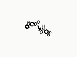 CN(C)[C@]1(c2ccccc2)CC[C@@]2(CC1)CC(=O)N(CCC(C)(C)C(=O)NC1CCS(=O)(=O)CC1)C2